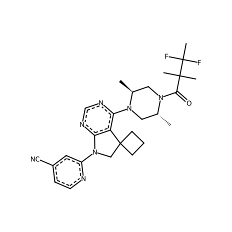 C[C@@H]1CN(c2ncnc3c2C2(CCC2)CN3c2cc(C#N)ccn2)[C@@H](C)CN1C(=O)C(C)(C)C(C)(F)F